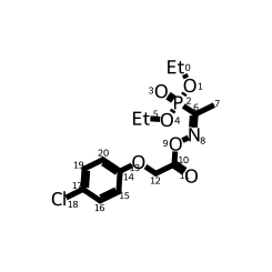 CCOP(=O)(OCC)C(C)=NOC(=O)COc1ccc(Cl)cc1